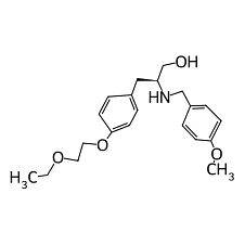 CCOCCOc1ccc(C[C@@H](CO)NCc2ccc(OC)cc2)cc1